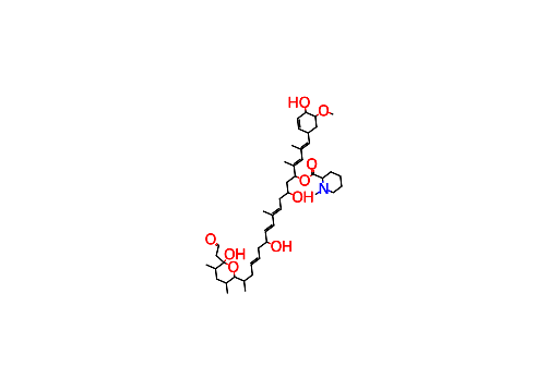 COC1CC(/C=C(C)/C=C(\C)C(CC(O)C/C=C(C)/C=C/C(O)C/C=C/CC(C)C2OC(O)(CC=O)C(C)CC2C)OC(=O)C2CCCCN2C)C=CC1O